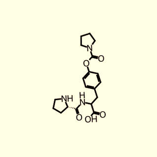 O=C(O)C(Cc1ccc(OC(=O)N2CCCC2)cc1)NC(=O)[C@@H]1CCCN1